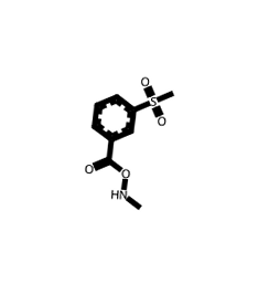 CNOC(=O)c1cccc(S(C)(=O)=O)c1